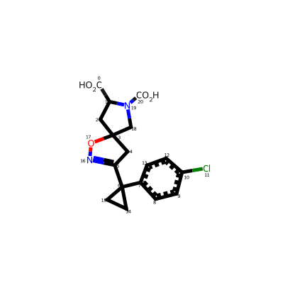 O=C(O)C1CC2(CC(C3(c4ccc(Cl)cc4)CC3)=NO2)CN1C(=O)O